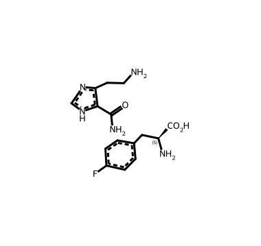 NCCc1nc[nH]c1C(N)=O.N[C@@H](Cc1ccc(F)cc1)C(=O)O